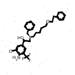 Nc1c(Cl)cc(C(O)CN(CCCCCOCCc2ccccc2)Cc2ccccc2)cc1C(F)(F)F